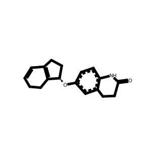 O=C1CCc2cc(O[C@H]3CCC4=C3CCC=C4)ccc2N1